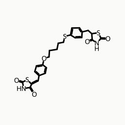 O=C1NC(=O)C(=Cc2ccc(OCCCCCSc3ccc(CC4SC(=O)NC4=O)cc3)cc2)S1